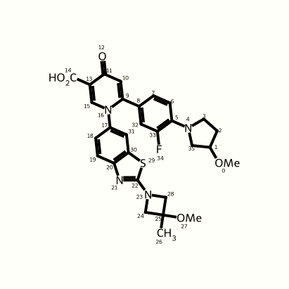 COC1CCN(c2ccc(-c3cc(=O)c(C(=O)O)cn3-c3ccc4nc(N5CC(C)(OC)C5)sc4c3)cc2F)C1